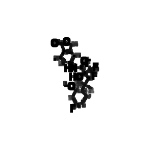 COc1cc(F)ccc1C(C)(C)CC(O)(C(=O)Nc1ccc2c(c1)COC2=O)C(F)(F)F